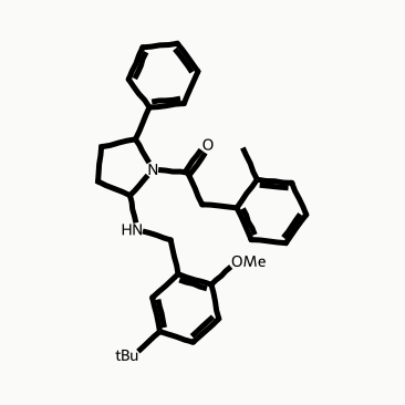 COc1ccc(C(C)(C)C)cc1CNC1CCC(c2ccccc2)N1C(=O)Cc1ccccc1C